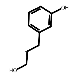 OC[CH]Cc1cccc(O)c1